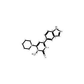 Cn1c(N2CCCCC2)cc(-c2ccc3[nH]ncc3c2)nc1=O